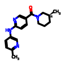 Cc1ccc(Nc2ccc(C(=O)N3CCC[C@@H](C)C3)cn2)cn1